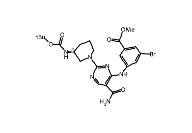 COC(=O)c1cc(Br)cc(Nc2nc(N3CCC[C@H](NC(=O)OC(C)(C)C)C3)ncc2C(N)=O)c1